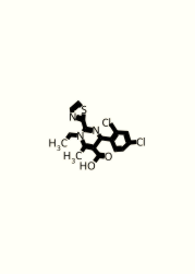 CCN1C(c2nccs2)=NC(c2ccc(Cl)cc2Cl)C(C(=O)O)=C1C